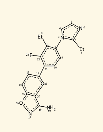 CCc1c(-n2ccnc2CC)[c]cc(-c2ccc3onc(N)c3c2)c1F